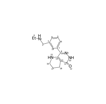 CCNCc1cccc(-c2n[nH]c(=O)c3c2NCCC3)c1